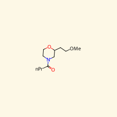 CCCC(=O)N1CCOC(CCOC)C1